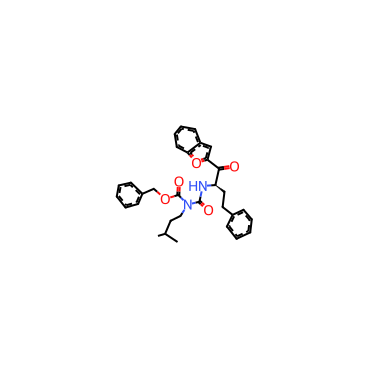 CC(C)CCN(C(=O)N[C@H](CCc1ccccc1)C(=O)c1cc2ccccc2o1)C(=O)OCc1ccccc1